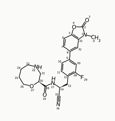 Cn1c(=O)oc2ccc(-c3ccc(C[C@@H](C#N)NC(=O)[C@@H]4CNCCCCO4)c(F)c3)cc21